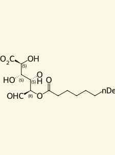 CCCCCCCCCCCCCCCC(=O)O[C@@H](C=O)[C@@H](O)[C@H](O)[C@H](O)C(=O)O